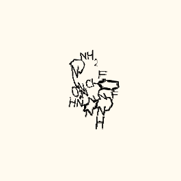 NC1CCN(Cc2nnc(Nc3cnc4c(n3)N(Cc3c(F)ccc(F)c3Cl)CCCN4)o2)CC1